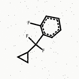 Fc1c[c]ccc1C(F)(F)C1CC1